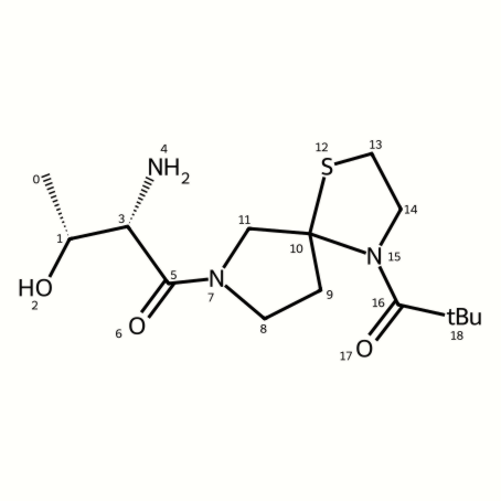 C[C@@H](O)[C@H](N)C(=O)N1CCC2(C1)SCCN2C(=O)C(C)(C)C